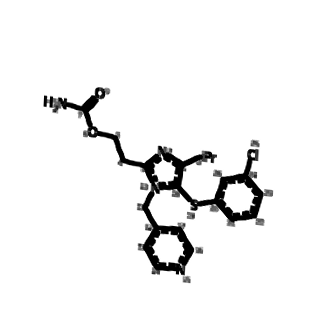 CC(C)c1nc(CCOC(N)=O)n(Cc2ccncc2)c1Sc1cccc(Cl)c1